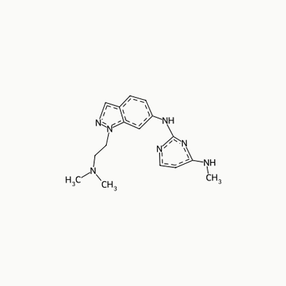 CNc1ccnc(Nc2ccc3cnn(CCN(C)C)c3c2)n1